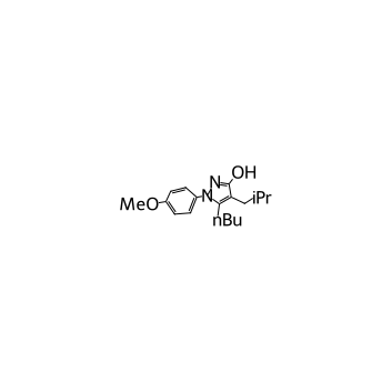 CCCCc1c(CC(C)C)c(O)nn1-c1ccc(OC)cc1